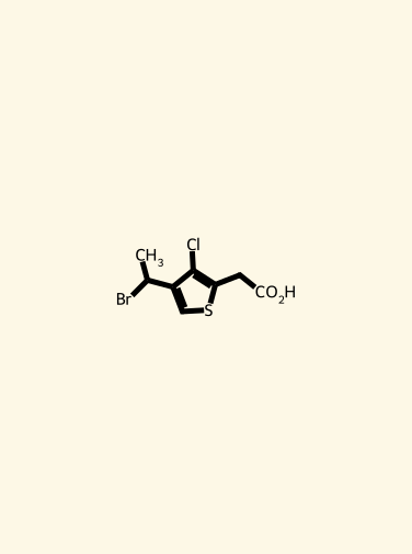 CC(Br)c1csc(CC(=O)O)c1Cl